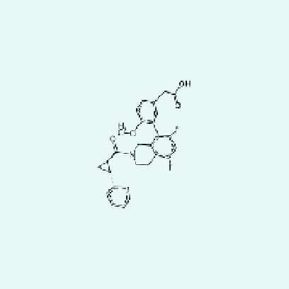 COc1ccc(CC(=O)O)cc1-c1c(F)cc(F)c2c1CN(C(=O)[C@@H]1C[C@H]1c1ccccc1)CC2